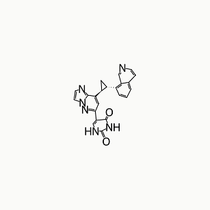 O=c1[nH]cc(-c2cc([C@H]3C[C@@H]3c3cccc4ccncc34)c3nccn3n2)c(=O)[nH]1